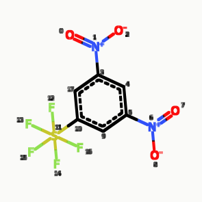 O=[N+]([O-])c1cc([N+](=O)[O-])cc(S(F)(F)(F)(F)F)c1